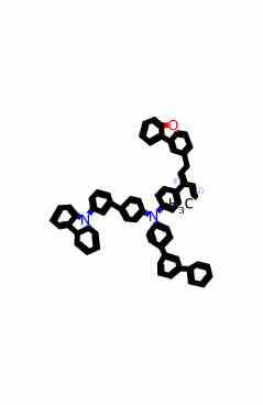 C/C=C\C(=C/Cc1ccc2oc3ccccc3c2c1)c1ccc(N(c2c#cc(-c3cccc(-c4ccccc4)c3)cc2)c2ccc(-c3cccc(N4c5ccccc5C5C=CC=CC54)c3)cc2)cc1